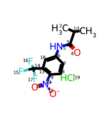 CC(C)C(=O)Nc1ccc([N+](=O)[O-])c(C(F)(F)F)c1.Cl